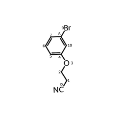 N#CCCOc1cccc(Br)c1